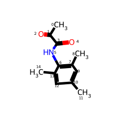 CC(=O)C(=O)Nc1c(C)cc(C)cc1C